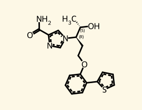 C[C@H](O)[C@@H](CCOc1ccccc1-c1cccs1)n1cnc(C(N)=O)c1